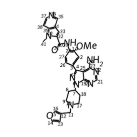 COc1cc(-c2nn(C3CCN(Cc4ccoc4)CC3)c3ncnc(N)c23)ccc1NC(=O)c1cc2cnccc2n1C